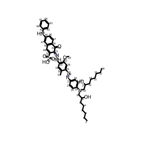 CCCCCCC(O)CN(CC(O)CCCCCC)c1ccc(/N=N/c2cc(OC)c(N/N=C3/C(=O)c4ccc(Nc5ccccc5)cc4C=C3S(=O)(=O)O)cc2C)cc1